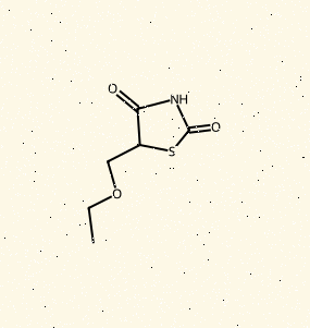 CCOCC1SC(=O)NC1=O